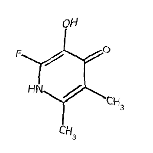 Cc1[nH]c(F)c(O)c(=O)c1C